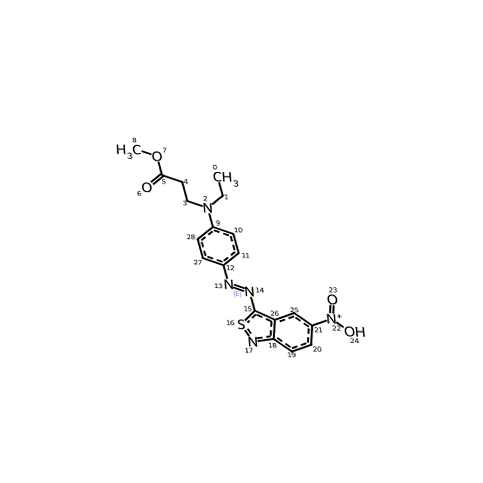 CCN(CCC(=O)OC)c1ccc(/N=N/c2snc3ccc([N+](=O)O)cc23)cc1